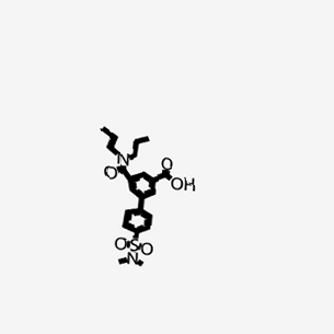 CCCN(CCC)C(=O)c1cc(C(=O)O)cc(-c2ccc(S(=O)(=O)N(C)C)cc2)c1